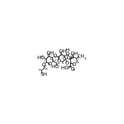 C[C@H]1CO[C@@](O[C@]2(O)COC(O[C@@H]3C(CO)OC(OCCS)[C@@H](O)[C@H]3O)[C@@H](O)[C@H]2O)(C(=O)O)C[C@H]1O